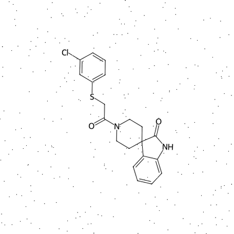 O=C(CSc1cccc(Cl)c1)N1CCC2(CC1)C(=O)Nc1ccccc12